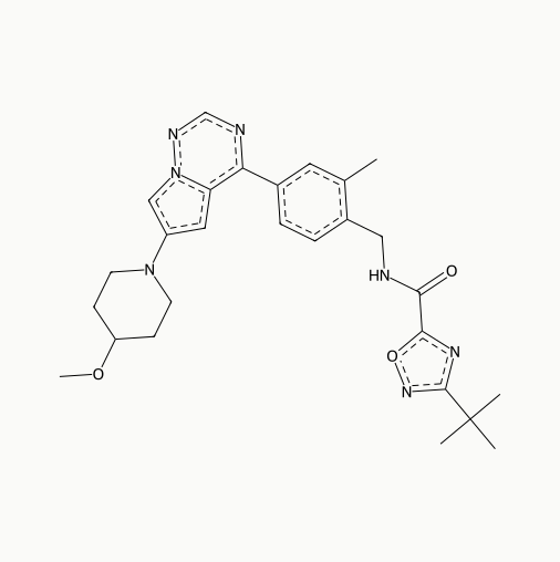 COC1CCN(c2cc3c(-c4ccc(CNC(=O)c5nc(C(C)(C)C)no5)c(C)c4)ncnn3c2)CC1